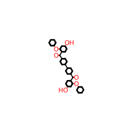 O=C(c1ccc(-c2ccc(C(=O)c3ccc(O)cc3Oc3ccccc3)cc2)cc1)c1ccc(O)cc1Oc1ccccc1